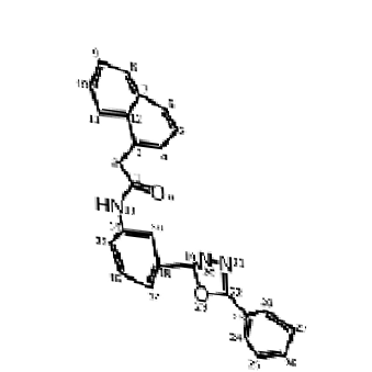 O=C(Cc1cccc2ccccc12)Nc1cccc(-c2nnc(-c3ccccc3)o2)c1